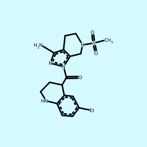 CCc1ccc2c(c1)C(C(=O)n1nc(N)c3c1CN(S(C)(=O)=O)CC3)CCN2